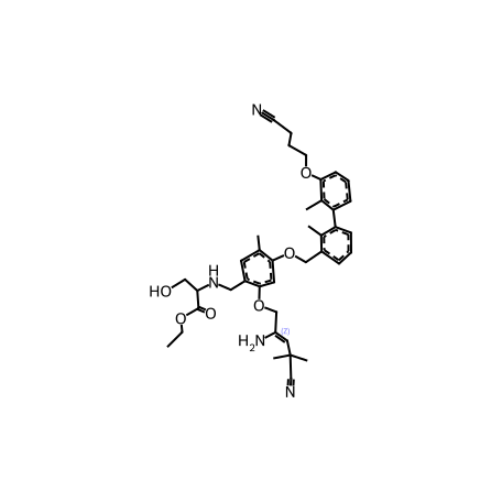 CCOC(=O)C(CO)NCc1cc(C)c(OCc2cccc(-c3cccc(OCCCC#N)c3C)c2C)cc1OC/C(N)=C/C(C)(C)C#N